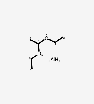 CCOC(C)OCC.[AlH3]